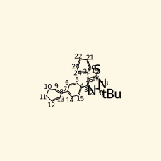 CC(C)(C)c1nc(-c2ccc(C3=CCCC=C3)cc2)c2c(n1)sc1ccccc12